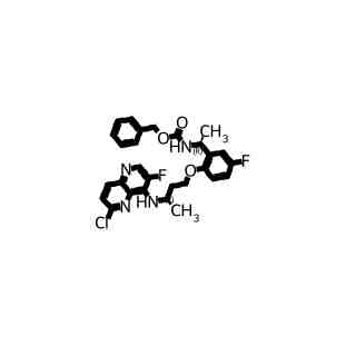 C[C@H](CCOc1ccc(F)cc1[C@@H](C)NC(=O)OCc1ccccc1)Nc1c(F)cnc2ccc(Cl)nc12